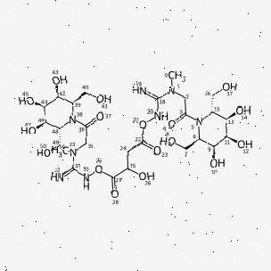 CN(CC(=O)N1[C@H](CO)[C@H](O)[C@H](O)[C@H](O)[C@H]1CO)C(=N)NOC(=O)CC(O)C(=O)ONC(=N)N(C)CC(=O)N1[C@H](CO)[C@H](O)[C@H](O)[C@H](O)[C@H]1CO